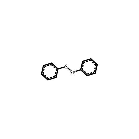 c1ccc(S[Se]c2ccccc2)cc1